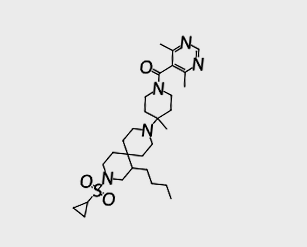 CCCCC1CN(S(=O)(=O)C2CC2)CCC12CCN(C1(C)CCN(C(=O)c3c(C)ncnc3C)CC1)CC2